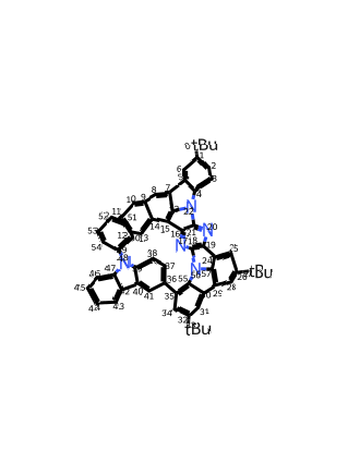 CC(C)(C)c1ccc2c(c1)c1cc3ccccc3c3c4nc5c(nc4n2c13)c1cc(C(C)(C)C)cc2c3cc(C(C)(C)C)cc(-c4ccc6c(c4)c4ccccc4n6-c4ccccc4)c3n5c21